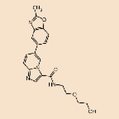 Cc1nc2cc(-c3ccc4ncc(C(=O)NCCOCCO)n4c3)ccc2o1